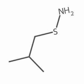 CC(C)CSN